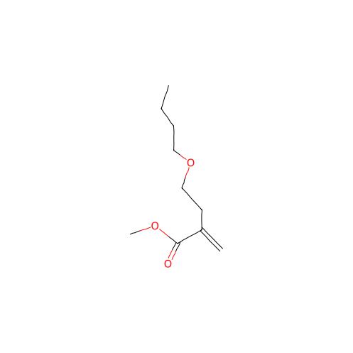 C=C(CCOCCCC)C(=O)OC